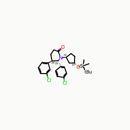 CC(C)(C)[Si](C)(C)O[C@H]1CC[C@H](N2C(=O)CC[C@H](c3cccc(Cl)c3)[C@H]2c2ccc(Cl)cc2)C1